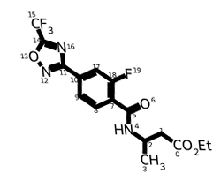 CCOC(=O)CC(C)NC(=O)c1ccc(-c2noc(C(F)(F)F)n2)cc1F